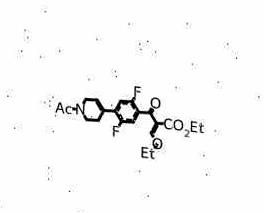 CCOC=C(C(=O)OCC)C(=O)c1cc(F)c(C2=CCN(C(C)=O)CC2)cc1F